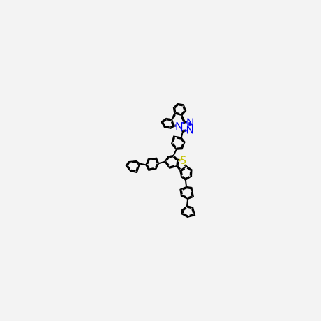 c1ccc(-c2ccc(-c3ccc4sc5c(-c6ccc(-c7nnc8c9ccccc9c9ccccc9n78)cc6)cc(-c6ccc(-c7ccccc7)cc6)cc5c4c3)cc2)cc1